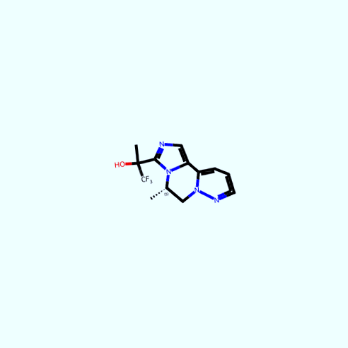 C[C@H]1CN2N=C=CC=C2c2cnc(C(C)(O)C(F)(F)F)n21